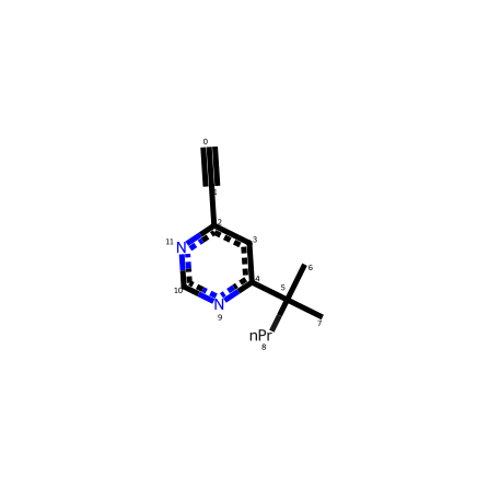 C#Cc1cc(C(C)(C)CCC)ncn1